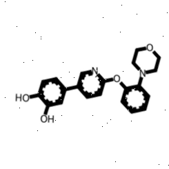 Oc1ccc(-c2ccc(Oc3ccccc3N3CCOCC3)nc2)cc1O